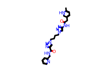 CC1=CC=C(CC(=O)Nc2cn(CCCCn3cc(C(=O)NCc4ccccn4)nn3)nn2)CN1